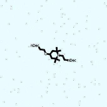 CCCCCCCCCCCCOC1CC(C)(C)N(CCCCCCCCCCCC)C(C)(C)C1